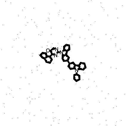 c1ccc(-n2c3ccccc3c3cc(-c4ccc5c(c4)c4ccccc4n5-c4ncc5c(n4)-c4cccc6cccc(c46)O5)ccc32)cc1